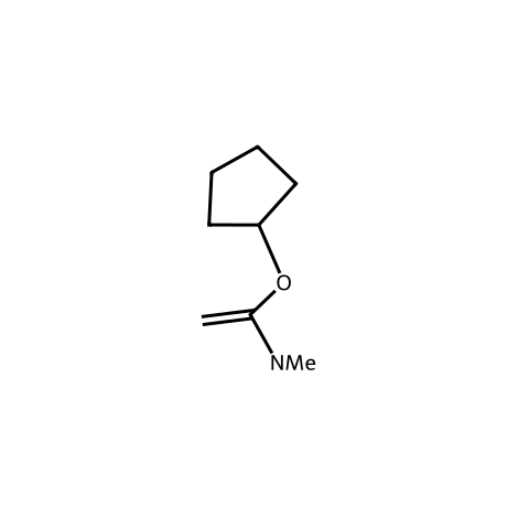 C=C(NC)OC1CCCC1